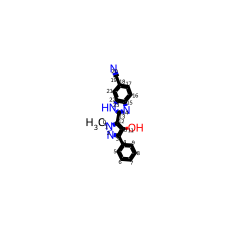 Cn1nc(-c2ccccc2)c(O)c1-c1nc2ccc(C#N)cc2[nH]1